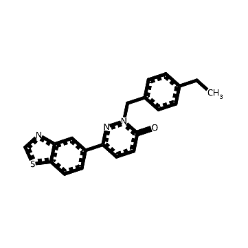 CCc1ccc(Cn2nc(-c3ccc4scnc4c3)ccc2=O)cc1